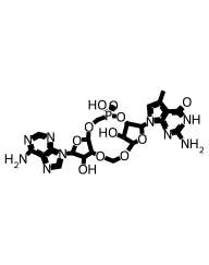 Cc1cn(C2OC3OCOC4C(OCP(=O)(O)OC2C3O)OC(n2cnc3c(N)ncnc32)C4O)c2nc(N)[nH]c(=O)c12